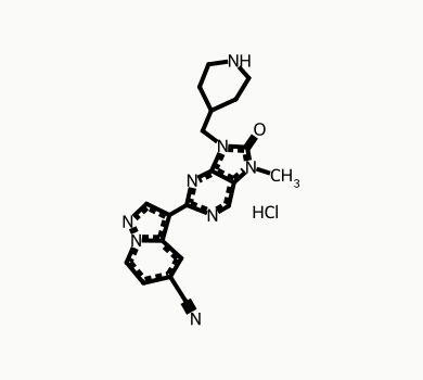 Cl.Cn1c(=O)n(CC2CCNCC2)c2nc(-c3cnn4ccc(C#N)cc34)ncc21